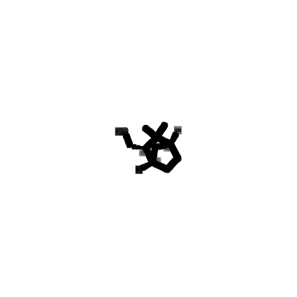 CC1(C)[C@@H]2CC[C@@H](C2)[C@@H]1CO